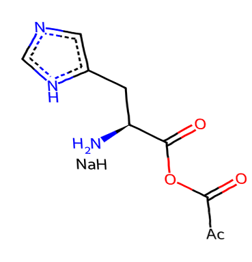 CC(=O)C(=O)OC(=O)[C@@H](N)Cc1cnc[nH]1.[NaH]